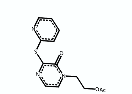 CC(=O)OCCn1ccnc(Sc2ccccn2)c1=O